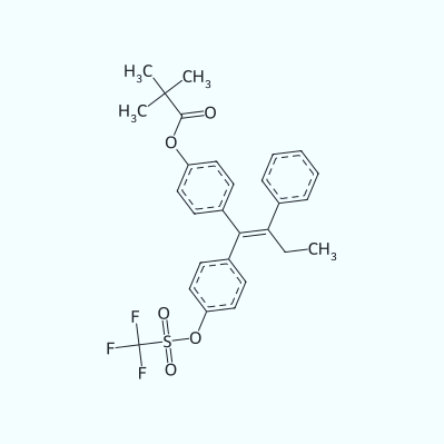 CC/C(=C(/c1ccc(OC(=O)C(C)(C)C)cc1)c1ccc(OS(=O)(=O)C(F)(F)F)cc1)c1ccccc1